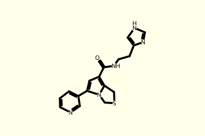 O=C(NCCc1c[nH]cn1)c1cc(-c2cccnc2)n2c1CSC2